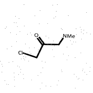 CNCC(=O)CCl